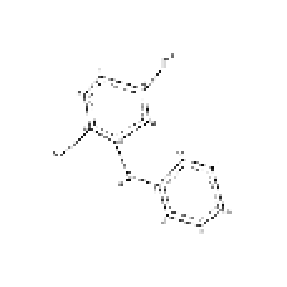 Cc1ccc(F)cc1Sc1cc[c]cc1